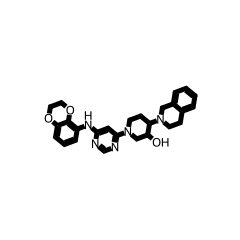 OC1CN(c2cc(Nc3cccc4c3OCCO4)ncn2)CCC1N1CCc2ccccc2C1